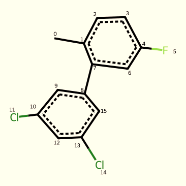 Cc1ccc(F)cc1-c1cc(Cl)cc(Cl)c1